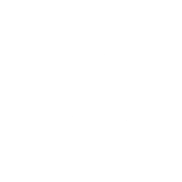 C=C/C=C\C1=C(C)OC(=O)C2C3C(=O)OC(C=C)=C(/C=C\C)C3C12